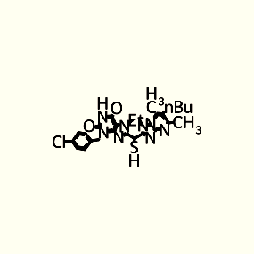 CCCCc1c(C)nc2nc(C(S)c3nc4c(c(=O)[nH]c(=O)n4Cc4ccc(Cl)cc4)n3CC)nn2c1C